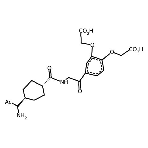 CC(=O)C(N)[C@H]1CC[C@H](C(=O)NCC(=O)c2ccc(OCC(=O)O)c(OCC(=O)O)c2)CC1